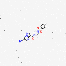 Cc1ccc(S(=O)(=O)N2CCN(C(=O)c3cnn4cc(C#N)cnc34)[C@@H](C)C2)cc1